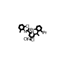 CC(=Nc1c(C)cccc1Cl)c1cccc(C(C)c2c(C(C)C)cccc2C(C)C)n1.[Cl][Fe][Cl]